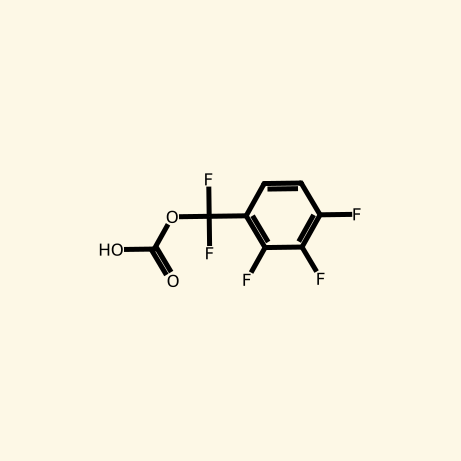 O=C(O)OC(F)(F)c1ccc(F)c(F)c1F